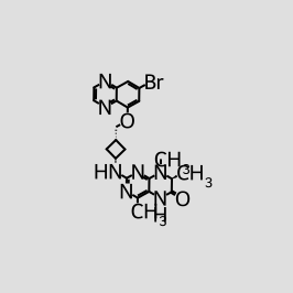 Cc1nc(N[C@H]2C[C@@H](COc3cc(Br)cc4nccnc34)C2)nc2c1NC(=O)[C@H](C)N2C